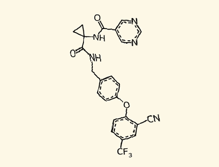 N#Cc1cc(C(F)(F)F)ccc1Oc1ccc(CNC(=O)C2(NC(=O)c3cncnc3)CC2)cc1